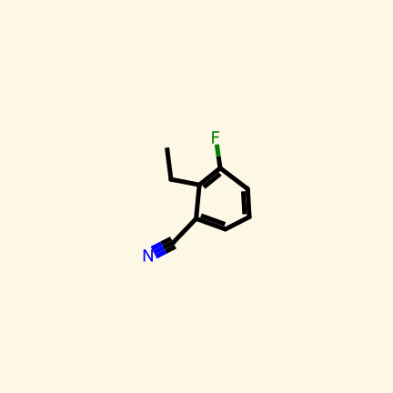 CCc1c(F)cccc1C#N